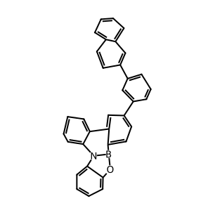 c1cc(-c2ccc3c(c2)-c2ccccc2N2B3Oc3ccccc32)cc(-c2ccc3ccccc3c2)c1